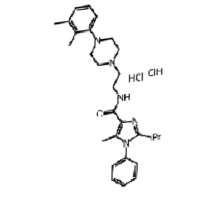 Cc1cccc(N2CCN(CCNC(=O)c3nc(C(C)C)n(-c4ccccc4)c3C)CC2)c1C.Cl.Cl